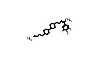 CCCCCC1CCC(C2CCC(CCC=C(C)c3cc(F)c(F)c(F)c3)CC2)CC1